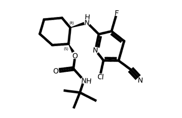 CC(C)(C)NC(=O)O[C@H]1CCCC[C@H]1Nc1nc(Cl)c(C#N)cc1F